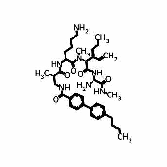 C=C/C(=C\CC)[C@@H](C(=O)N[C@@H](N)C(=O)NC)N(C)C(=O)[C@H](CCCCN)NC(=O)[C@H](C)CNC(=O)c1ccc(-c2ccc(CCCC)cc2)cc1